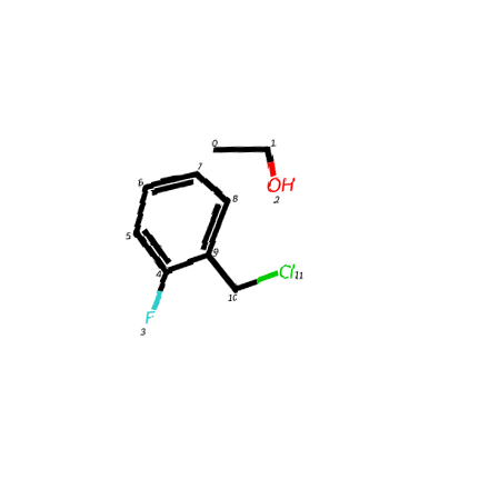 CCO.Fc1ccccc1CCl